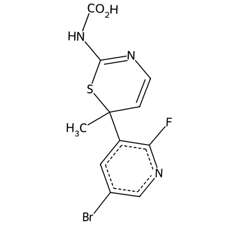 CC1(c2cc(Br)cnc2F)C=CN=C(NC(=O)O)S1